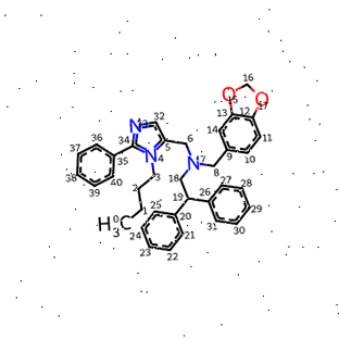 CCCCn1c(CN(Cc2ccc3c(c2)OCO3)CC(c2ccccc2)c2ccccc2)cnc1-c1ccccc1